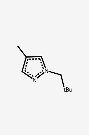 CC(C)(C)Cn1cc(I)cn1